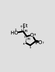 CC[C@@H](O)[C@H]1CCC(=O)O1